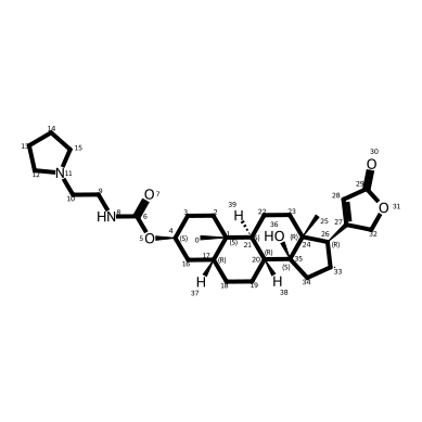 C[C@]12CC[C@H](OC(=O)NCCN3CCCC3)C[C@H]1CC[C@@H]1[C@@H]2CC[C@]2(C)[C@@H](C3=CC(=O)OC3)[CH]C[C@]12O